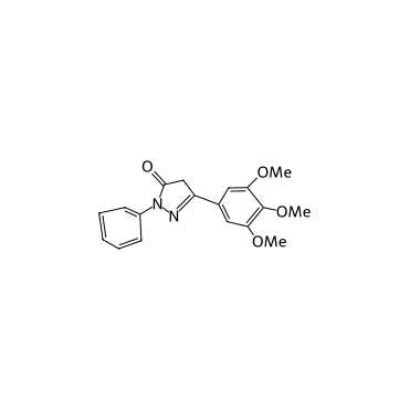 COc1cc(C2=NN(c3ccccc3)C(=O)C2)cc(OC)c1OC